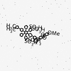 COc1ccc(S(=O)(=O)c2ccc(Oc3ccc(-c4ccc(-c5c(-c6ccc(S(=O)(=O)O)c(S(=O)(=O)O)c6)c(-c6ccccc6)c(-c6ccc(-c7ccc(C)c(C)c7)cc6)c(-c6ccccc6)c5-c5ccc(S(=O)(=O)O)c(S(=O)(=O)O)c5)cc4)cc3C(F)(F)F)cc2)cc1